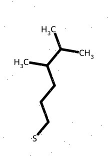 CC(C)C(C)CCC[S]